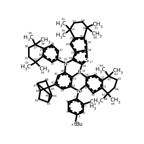 Cc1cc(C(C)(C)C)ccc1N1c2cc3c(cc2B2c4sc5cc6c(cc5c4N(c4ccc5c(c4)C(C)(C)CCC5(C)C)c4cc(C57CC8CC(C5)C7C8)cc1c42)C(C)(C)CCC6(C)C)C(C)(C)CCC3(C)C